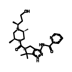 C[C@@H]1CN(C(=O)N2Cc3c(NC(=O)c4ccccn4)n[nH]c3C2(C)C)[C@@H](C)CN1[C@@H](C)CCO